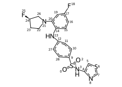 O=S(=O)(Nc1cscn1)c1ccc(Nc2ccc(F)cc2N2CC[C@@H](F)C2)cc1